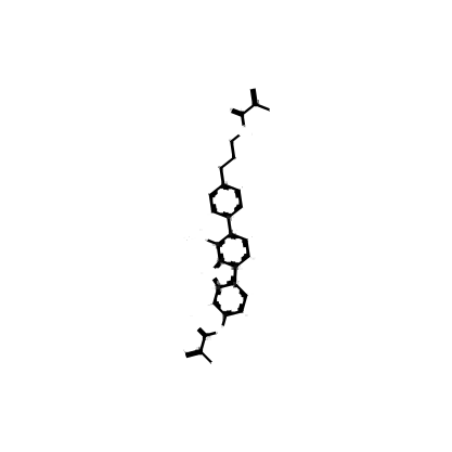 C=C(C)C(=O)OCCCc1ccc(-c2ccc3c(oc4cc(OC(=O)C(=C)C)ccc43)c2OC)cc1